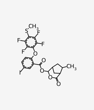 CSc1c(F)c(F)c(Oc2ccc(I)cc2C(=O)OC2OC(=O)C3CC2CC3C)c(F)c1F